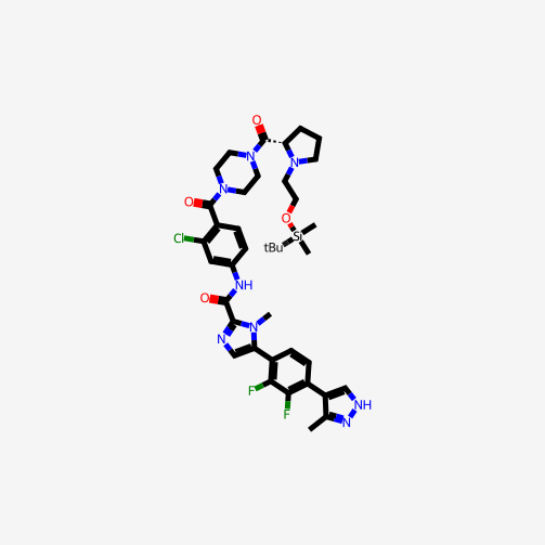 Cc1n[nH]cc1-c1ccc(-c2cnc(C(=O)Nc3ccc(C(=O)N4CCN(C(=O)[C@@H]5CCCN5CCO[Si](C)(C)C(C)(C)C)CC4)c(Cl)c3)n2C)c(F)c1F